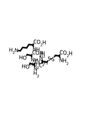 NC(CO)C(=O)O.NC(CO)C(=O)O.NC(CSSCC(N)C(=O)O)C(=O)O.NCCCCC(N)C(=O)O